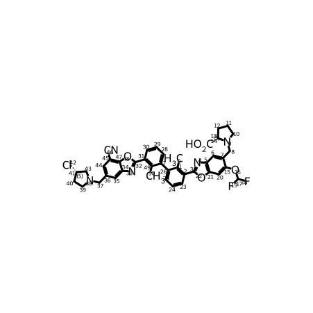 Cc1c(-c2nc3cc(CN4CCC[C@H]4C(=O)O)c(OC(F)F)cc3o2)cccc1-c1cccc(-c2nc3cc(CN4CC[C@H](Cl)C4)cc(C#N)c3o2)c1C